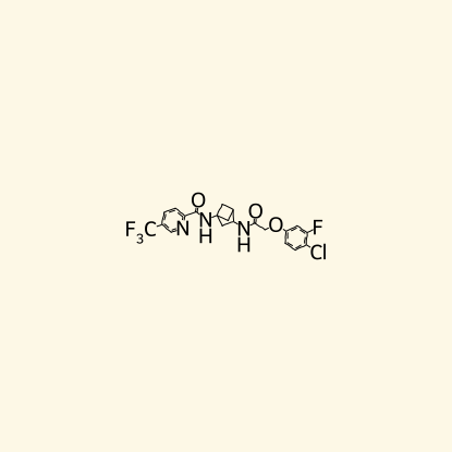 O=C(COc1ccc(Cl)c(F)c1)NC1CC2(NC(=O)c3ccc(C(F)(F)F)cn3)CC1C2